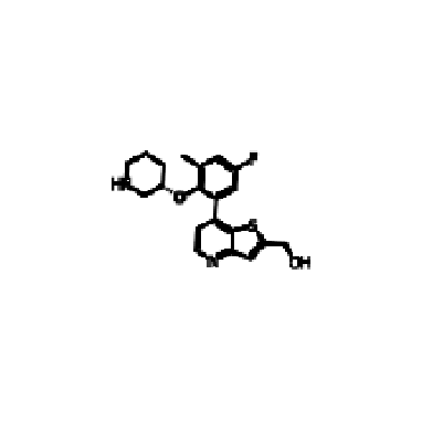 Cc1cc(F)cc(-c2ccnc3cc(CO)sc23)c1O[C@H]1CCCNC1